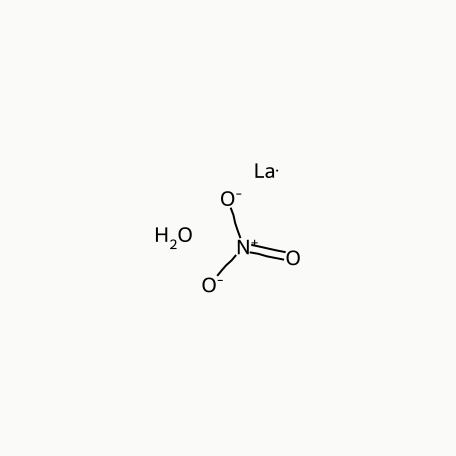 O.O=[N+]([O-])[O-].[La]